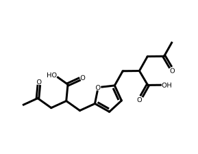 CC(=O)CC(Cc1ccc(CC(CC(C)=O)C(=O)O)o1)C(=O)O